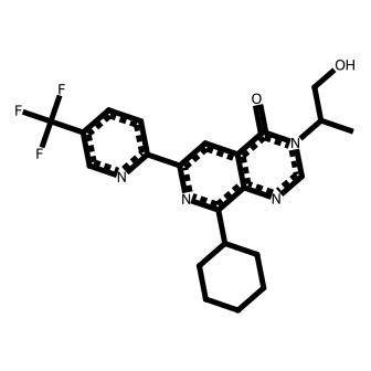 CC(CO)n1cnc2c(C3CCCCC3)nc(-c3ccc(C(F)(F)F)cn3)cc2c1=O